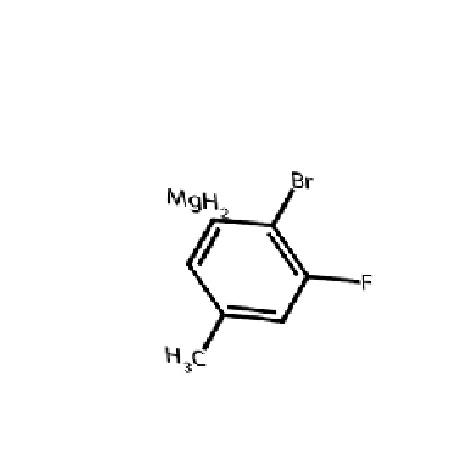 Cc1ccc(Br)c(F)c1.[MgH2]